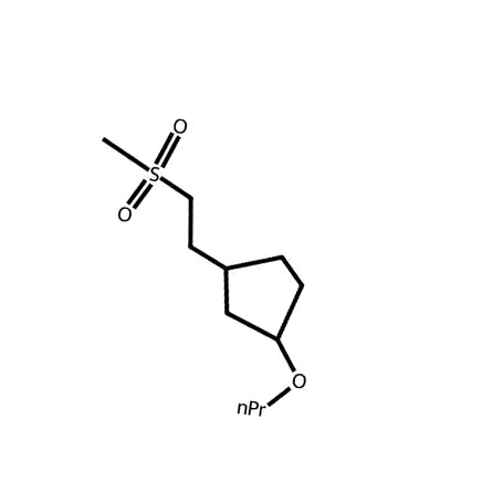 CCCOC1CCC(CCS(C)(=O)=O)C1